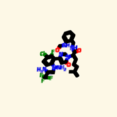 CC(C)CCCC(C(=O)NCc1ccccc1NC=O)n1cnc(-c2c(N(N)/C=C(\N)C(F)(F)F)ccc(Cl)c2F)cc1=O